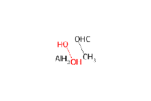 CC=O.OO.[AlH3]